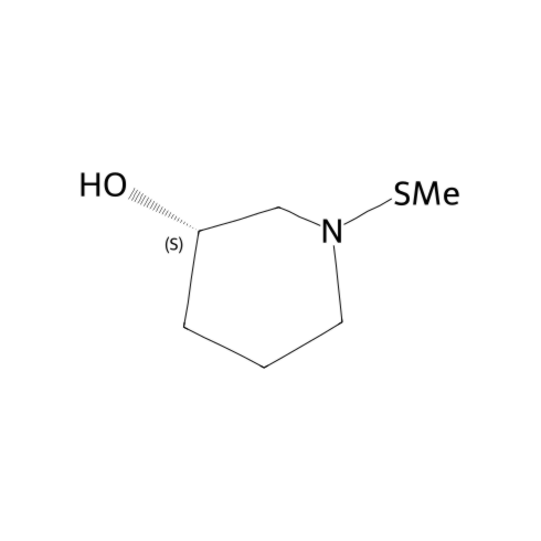 CSN1CCC[C@H](O)C1